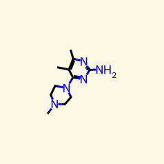 Cc1nc(N)nc(N2CCN(C)CC2)c1C